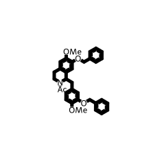 COc1ccc(CC2c3cc(OCc4ccccc4)c(OC)cc3CCN2C(C)=O)cc1OCc1ccccc1